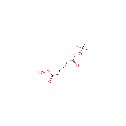 CC(C)(C)OOC(=O)CCCCC(=O)OO